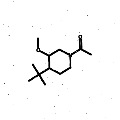 COC1CN(C(C)=O)CCC1C(C)(C)C